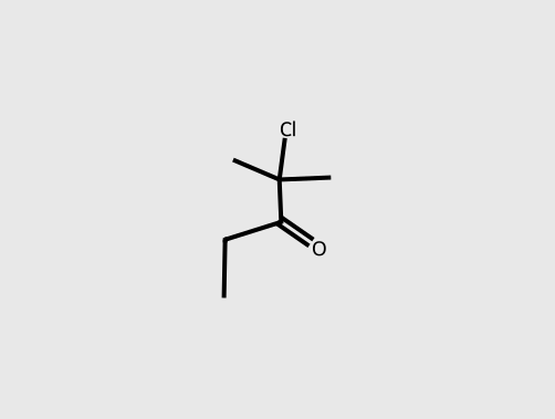 CCC(=O)C(C)(C)Cl